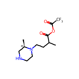 CC(CCN1CCNC[C@H]1C)C(=O)OC(=O)C(F)(F)F